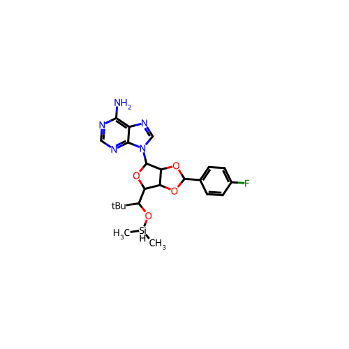 C[SiH](C)OC(C1OC(n2cnc3c(N)ncnc32)C2OC(c3ccc(F)cc3)OC21)C(C)(C)C